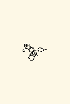 COC1(c2cccc(C(N)=O)c2)C2CCCC1CN(CC1CC3C(C)C3C1)C2